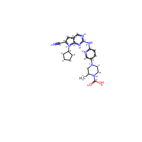 CC1CN(c2ccc(Nc3ncc4cc(C#N)n(C5CCCC5)c4n3)nc2)CCN1C(=O)O